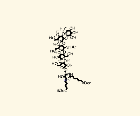 CCCCCCCCCCCCC/C=C/[C@@H](O)[C@H](CO[C@@H]1OC(CO)[C@@H](O[C@@H]2OC(CO)[C@H](O[C@@H]3OC(CO)[C@H](O)[C@H](O[C@@H]4OC(CO)[C@H](O)[C@H](O)C4O[C@H]4OC(C)[C@@H](O)C(O)[C@@H]4O)C3NC(C)=O)[C@H](O)C2O)[C@H](O)C1O)NC(=O)CCCCCCCCCCCCCCC